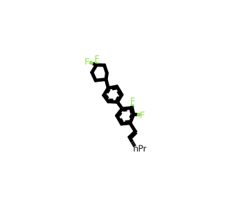 CCC/C=C/c1ccc(-c2ccc(C3CCC(F)(F)CC3)cc2)c(F)c1F